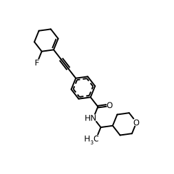 CC(NC(=O)c1ccc(C#CC2=CCCCC2F)cc1)C1CCOCC1